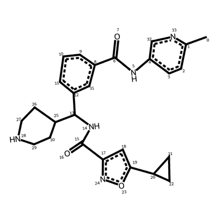 Cc1ccc(NC(=O)c2cccc(C(NC(=O)c3cc(C4CC4)on3)C3CCNCC3)c2)cn1